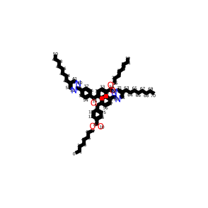 CCCCCCCCOC(=O)c1ccc(C(OC(c2ccc(C(=O)OCCCCCCCC)cc2)c2ccc(-c3ncc(CCCCCCCC)cn3)cc2)c2ccc(-c3ncc(CCCCCCCC)cn3)cc2)cc1